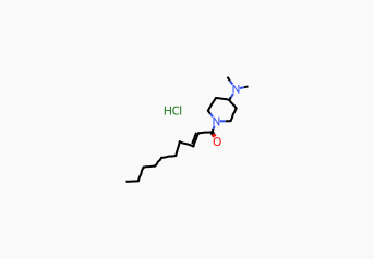 CCCCCCC/C=C/C(=O)N1CCC(N(C)C)CC1.Cl